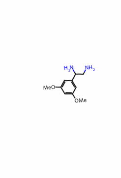 COc1cc(OC)cc(C(N)CN)c1